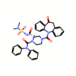 CN(C)S(=O)(=O)NC(=O)[C@@H]1CN(C(=O)N2c3ccccc3CC(=O)c3ccccc32)CCN1C(=O)N(c1ccccc1)c1ccccc1